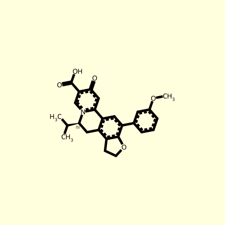 COc1cccc(-c2cc3c(c4c2OCC4)C[C@@H](C(C)C)n2cc(C(=O)O)c(=O)cc2-3)c1